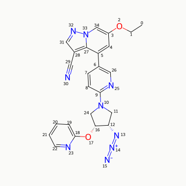 CCOc1cc(-c2ccc(N3C[C@H](N=[N+]=[N-])[C@H](Oc4ccccn4)C3)nc2)c2c(C#N)cnn2c1